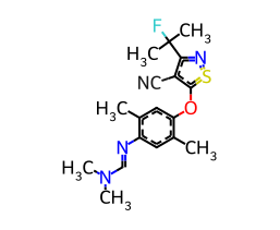 Cc1cc(Oc2snc(C(C)(C)F)c2C#N)c(C)cc1N=CN(C)C